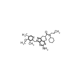 C=CCN(C(=O)C1Cc2nn(Cc3ncc(C)c(OC)c3C)c3nc(N)nc(c23)S1)C1CCCCC1